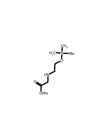 COC(=O)CNCCO[Si](C)(C)C(C)(C)C